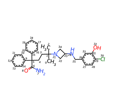 CC(C)(CCC(C(N)=O)(c1ccccc1)c1ccccc1)N1CC(NCc2ccc(Cl)c(O)c2)C1